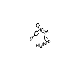 NC(=O)COCCC1CN(C(c2ccccc2)c2ccc(Cl)cc2)CCN1